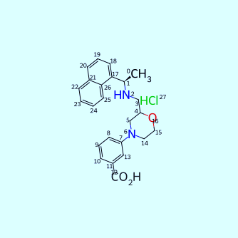 C[C@@H](NCC1CN(c2cccc(C(=O)O)c2)CCO1)c1cccc2ccccc12.Cl